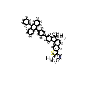 C/C=C\c1c(C)sc2cc3c4c(ccc3cc12)C(C)(C)c1cc(-c2ccc(-c3c5ccccc5c(-c5ccccc5)c5ccccc35)cc2)ccc1-4